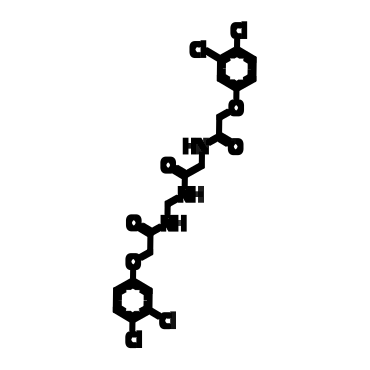 O=C(CNC(=O)COc1ccc(Cl)c(Cl)c1)NCNC(=O)COc1ccc(Cl)c(Cl)c1